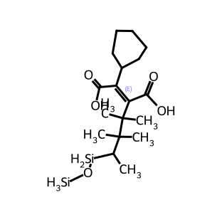 CC([SiH2]O[SiH3])C(C)(C)C(C)(C)/C(C(=O)O)=C(\C(=O)O)C1CCCCC1